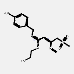 C=N/C(=C\C(=N/Cc1ccc(N)cc1)NCCO)CS(C)(=O)=O